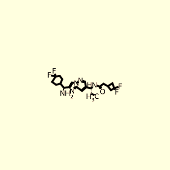 CC[C@@H](NC(=O)CC1CC(F)(F)C1)c1cnn2cc([C@@H](N)C3CCC(F)(F)CC3)nc2c1